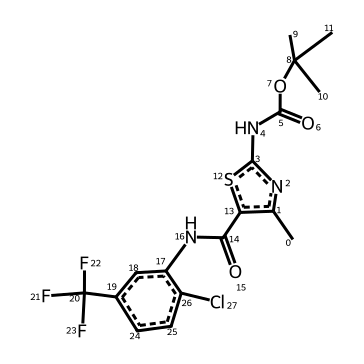 Cc1nc(NC(=O)OC(C)(C)C)sc1C(=O)Nc1cc(C(F)(F)F)ccc1Cl